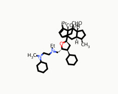 CCN(CCN(C)C1CCCCC1)C[C@@H]1O[C@@H](C23C[C@@H]4[C@H](C)CC[C@H]4C4(C=O)CC2C=C(C(C)C)[C@]43C(=O)O)C[C@H]1C1CCCCC1